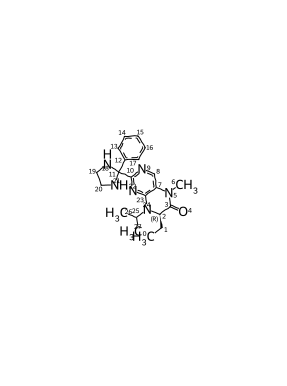 CC[C@@H]1C(=O)N(C)c2cnc(C3(c4ccccc4)NCCN3)nc2N1C(C)C